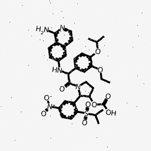 CCOc1cc(C(Nc2ccc3c(N)nccc3c2)C(=O)N2CCC(OC(=O)O)C2c2cc([N+](=O)[O-])ccc2S(=O)(=O)C(C)C)ccc1OC(C)C